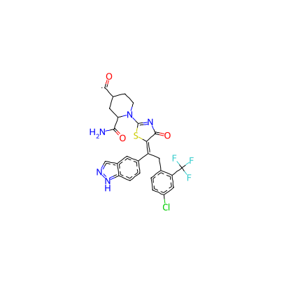 NC(=O)C1CC([C]=O)CCN1C1=NC(=O)C(=C(Cc2ccc(Cl)cc2C(F)(F)F)c2ccc3[nH]ncc3c2)S1